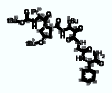 CCCCC(NC(=O)[C@@H]1C[C@@H](OC(C)(C)C)CN1C(=O)[C@@H](NC(=O)OC(C)(C)C)C(C)C)C(=O)C(=O)NCC(=O)N[C@H](C(N)=O)c1ccccc1